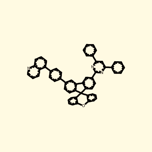 c1ccc(-c2cc(-c3ccccc3)nc(-c3ccc4c(c3)-c3cc(-c5ccc(-c6cccc7ncccc67)cc5)ccc3C43c4ccccc4Oc4ccccc43)n2)cc1